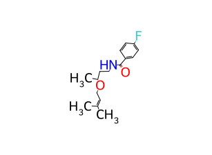 CC(C)=CCOC(C)CCNC(=O)c1ccc(F)cc1